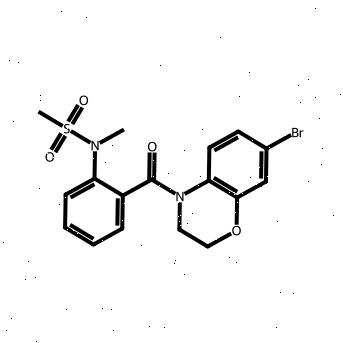 CN(c1ccccc1C(=O)N1CCOc2cc(Br)ccc21)S(C)(=O)=O